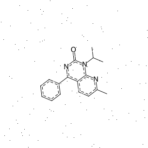 Cc1ccc2c(-c3ccccc3)nc(=O)n(C(C)C)c2n1